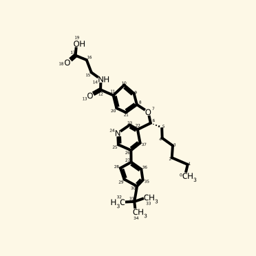 CCCCCC[C@@H](Oc1ccc(C(=O)NCCC(=O)O)cc1)c1cncc(-c2ccc(C(C)(C)C)cc2)c1